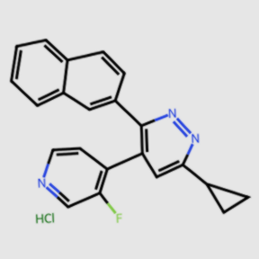 Cl.Fc1cnccc1-c1cc(C2CC2)nnc1-c1ccc2ccccc2c1